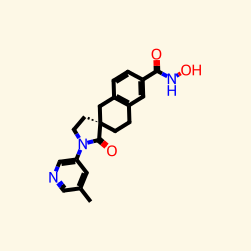 Cc1cncc(N2CC[C@]3(CCc4cc(C(=O)NO)ccc4C3)C2=O)c1